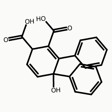 O=C(O)C1=C(c2ccccc2)C(O)(c2ccccc2)C=CC1C(=O)O